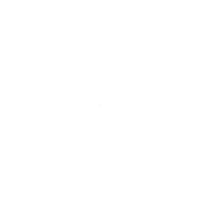 Cc1sc(-c2cc3c(C)c4c(=O)c(C)cc4c(C)c3c2=O)c(C)c1C